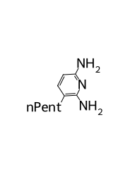 CCCCCc1ccc(N)nc1N